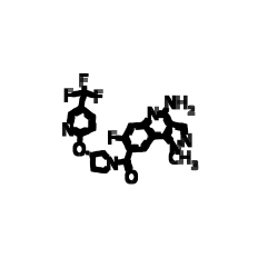 Cn1ncc2c(N)nc3cc(F)c(C(=O)N4CC[C@H](Oc5ccc(C(F)(F)F)cn5)C4)cc3c21